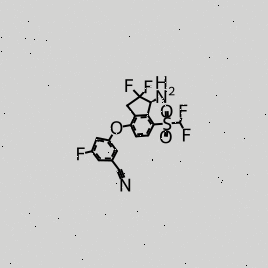 N#Cc1cc(F)cc(Oc2ccc(S(=O)(=O)C(F)F)c3c2CC(F)(F)[C@H]3N)c1